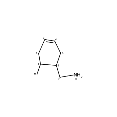 CC1CC=CCC1CN